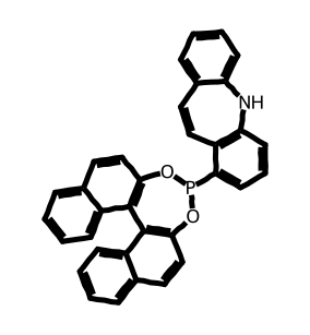 C1=Cc2c(cccc2-p2oc3ccc4ccccc4c3c3c(ccc4ccccc43)o2)Nc2ccccc21